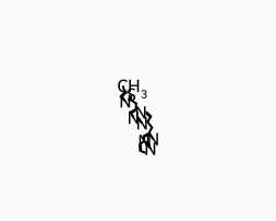 Cc1cnc(Cc2cnc3nc(Cc4cn5cccnc5n4)ccn23)s1